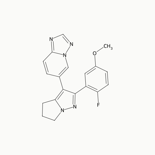 COc1ccc(F)c(-c2nn3c(c2-c2ccc4ncnn4c2)CCC3)c1